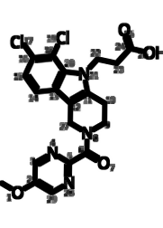 COc1cnc(C(=O)N2CCc3c(c4ccc(Cl)c(Cl)c4n3CCC(=O)O)C2)nc1